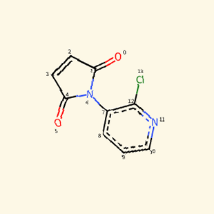 O=C1C=CC(=O)N1c1cccnc1Cl